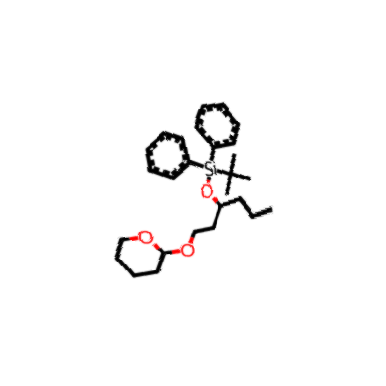 CCCC(CCOC1CCCCO1)O[Si](c1ccccc1)(c1ccccc1)C(C)(C)C